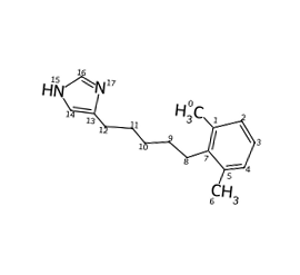 Cc1cccc(C)c1CCCCCc1c[nH]cn1